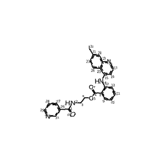 O=C(NCCOC(=O)c1ccccc1Nc1ccnc2cc(I)ccc12)c1cccnc1